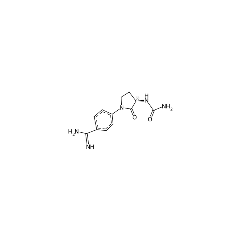 N=C(N)c1ccc(N2CC[C@@H](NC(N)=O)C2=O)cc1